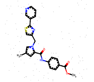 COC(=O)c1ccc(NC(=O)c2cc(C)cn2Cc2csc(-c3cccnc3)n2)cc1